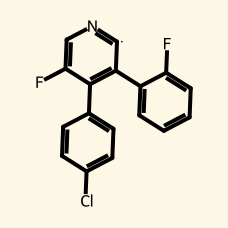 Fc1ccccc1-c1[c]ncc(F)c1-c1ccc(Cl)cc1